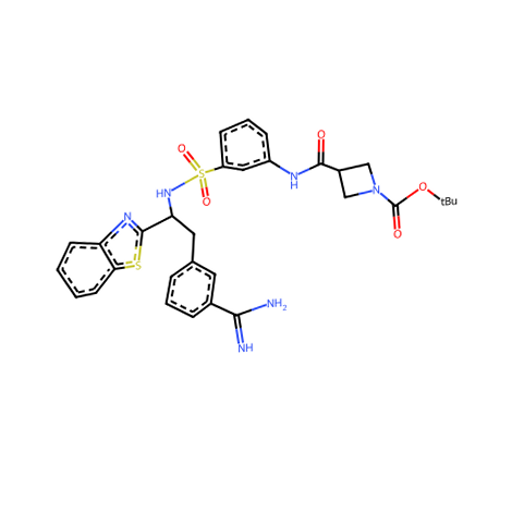 CC(C)(C)OC(=O)N1CC(C(=O)Nc2cccc(S(=O)(=O)NC(Cc3cccc(C(=N)N)c3)c3nc4ccccc4s3)c2)C1